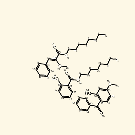 CCCCCCCCOC(=O)C(=Cc1ccccc1)OC.CCCCCCCCOC(=O)c1ccccc1O.COc1ccc(C(=O)c2ccccc2)c(O)c1